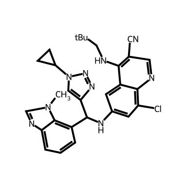 Cn1cnc2cccc(C(Nc3cc(Cl)c4ncc(C#N)c(NCC(C)(C)C)c4c3)c3cn(C4CC4)nn3)c21